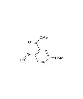 COC(=O)c1cc(OC)ccc1N=N